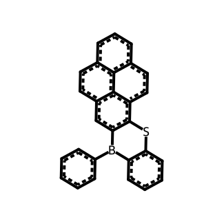 c1ccc(B2c3ccccc3Sc3c2cc2ccc4cccc5ccc3c2c45)cc1